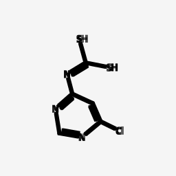 SC(S)=Nc1cc(Cl)ncn1